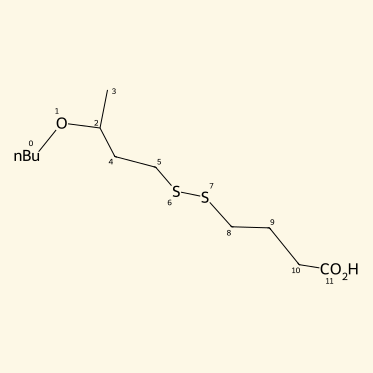 CCCCOC(C)CCSSCCCC(=O)O